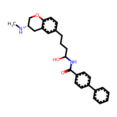 CN[C@@H]1COc2ccc(CCCC(O)NC(=O)c3ccc(-c4ccccc4)cc3)cc2C1